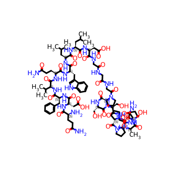 CC(C)C[C@H](NC(=O)[C@H](CC(C)C)NC(=O)[C@H](Cc1c[nH]c2ccccc12)NC(=O)[C@H](CCC(N)=O)NC(=O)[C@@H](NC(=O)[C@H](Cc1ccccc1)NC(=O)[C@H](CC(=O)O)NC(=O)[C@@H](N)CCC(N)=O)C(C)C)C(=O)N[C@@H](CC(=O)O)C(=O)NCC(=O)NCC(=O)NCC(=O)N1CCC[C@H]1C(=O)N[C@@H](CO)C(=O)N[C@@H](CO)C(=O)NCC(=O)N[C@@H](C)C(=O)N1CCC[C@H]1C(=O)N1CCC[C@H]1C(=O)N1CCC[C@H]1C(=O)N[C@@H](CO)C(N)=O